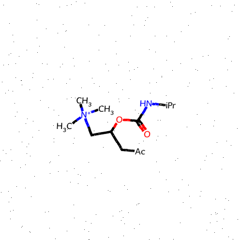 CC(=O)CC(C[N+](C)(C)C)OC(=O)NC(C)C